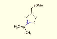 C=C(C)N1CCC(COC)C1